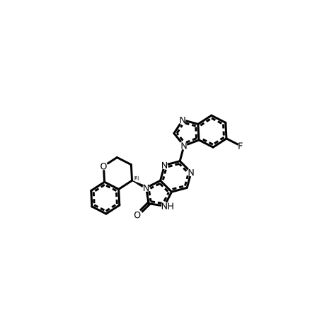 O=c1[nH]c2cnc(-n3cnc4ccc(F)cc43)nc2n1[C@@H]1CCOc2ccccc21